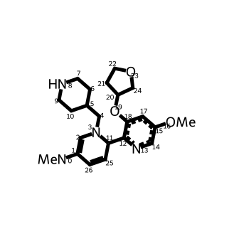 CNC1=CN(CC2CCNCC2)C(c2ncc(OC)cc2OC2CCOC2)C=C1